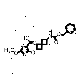 COc1nc(O[C@H]2CC3(C[C@H](NC(=O)OCc4ccccc4)C3)C2)c(C(=O)O)s1